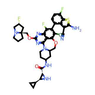 N#Cc1c(N)sc2c(F)ccc(-c3c(Cl)c4c5c(nc(OC[C@@]67CCCN6C[C@H](F)C7)nc5c3F)N3CCC(NC(=O)[C@@H]5N[C@H]5C5CC5)CC3CO4)c12